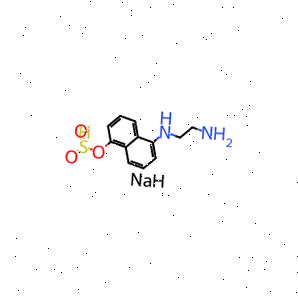 NCCNc1cccc2c(O[SH](=O)=O)cccc12.[NaH]